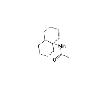 CC(=O)NC12CCCCC1CCCC2